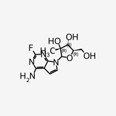 C[C@]1(O)C(n2ccc3c(N)nc(F)nc32)O[C@H](CO)[C@H]1O